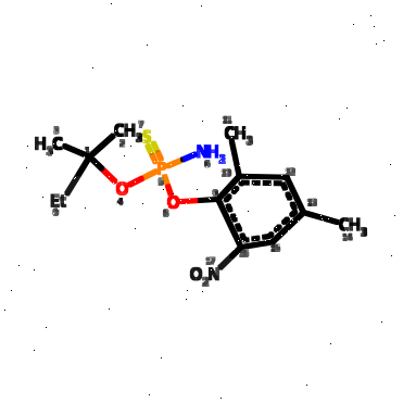 CCC(C)(C)OP(N)(=S)Oc1c(C)cc(C)cc1[N+](=O)[O-]